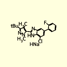 Cc1c(C(C)(C)C)nn(C)c1-c1nc2cc(-c3ccccc3F)cc(Cl)c2[nH]1.[NaH]